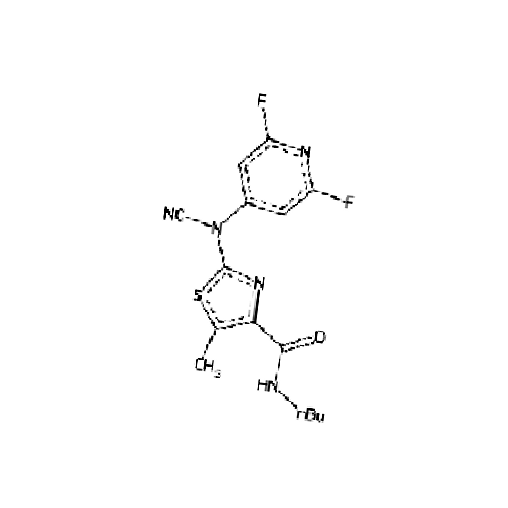 CCCCNC(=O)c1nc(N(C#N)c2cc(F)nc(F)c2)sc1C